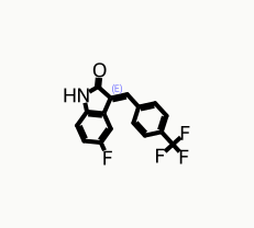 O=C1Nc2ccc(F)cc2/C1=C\c1ccc(C(F)(F)F)cc1